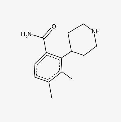 Cc1ccc(C(N)=O)c(C2CCNCC2)c1C